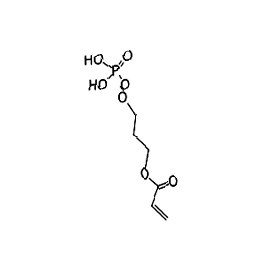 C=CC(=O)OCCCOOP(=O)(O)O